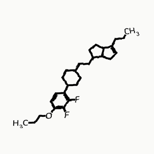 CCCOc1ccc(C2CCC(CCC3CCC4C(CCC)=CCC34)CC2)c(F)c1F